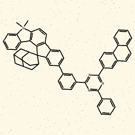 C[Si]1(C)c2ccccc2-c2c1ccc1c2C2(c3cc(-c4cccc(-c5nc(-c6ccccc6)nc(-c6ccc7c(ccc8ccccc87)c6)n5)c4)ccc3-1)C1CC3CC(C1)CC2C3